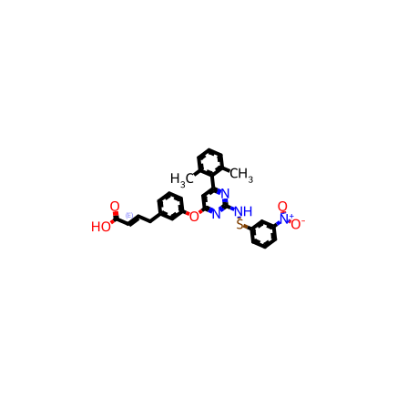 Cc1cccc(C)c1-c1cc(Oc2cccc(C/C=C/C(=O)O)c2)nc(NSc2cccc([N+](=O)[O-])c2)n1